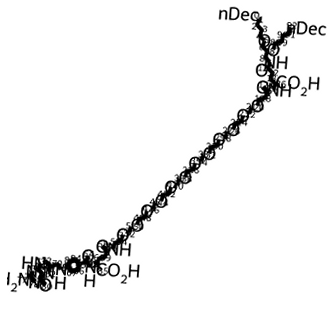 CCCCCCCCCCCCCCOCC(CNC(=O)CC[C@H](NC(=O)CCOCCOCCOCCOCCOCCOCCOCCOCCOCCOCCOCCOCCNC(=O)CC[C@H](NC(=O)c1ccc(NCc2c[nH]c3nc(N)nc(=O)c-3n2)cc1)C(=O)O)C(=O)O)OCCCCCCCCCCCCCC